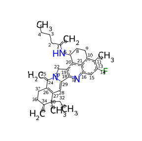 C=C(CCCC)NC1CCc2c(C)c(F)cc3nc4c(c1c23)CN1C(=C)C2=C(C=C41)C(C)(CC)C(=C)CC2